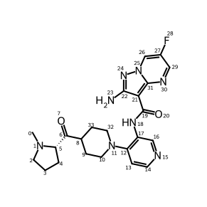 CN1CCC[C@H]1C(=O)C1CCN(c2ccncc2NC(=O)c2c(N)nn3cc(F)cnc23)CC1